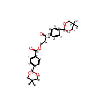 CC1(C)COC(c2ccc(C(=O)OC[CH2][Co](=[O])[c]3ccc(C4OCC(C)(C)CO4)cc3)cc2)OC1